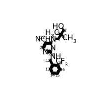 CC(C)(CO)CNc1nc(NCc2ccccc2C(F)(F)F)ncc1C#N